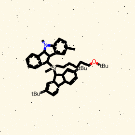 Cc1ccc2c(c1)C1C(c3ccccc3C1[Si](C)(CCCCCCOC(C)(C)C)C1C3C=C(C(C)(C)C)C=CC3C3C=CC(C(C)(C)C)=CC31)N2C